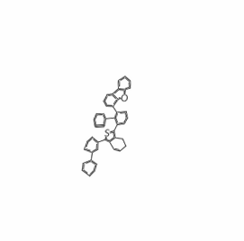 c1cccc(-c2c(-c3sc(-c4cccc(-c5ccccc5)c4)c4c3CCC=C4)cccc2-c2cccc3c2oc2ccccc23)c#1